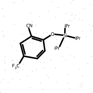 CC(C)[Si](Oc1ccc(C(F)(F)F)cc1C#N)(C(C)C)C(C)C